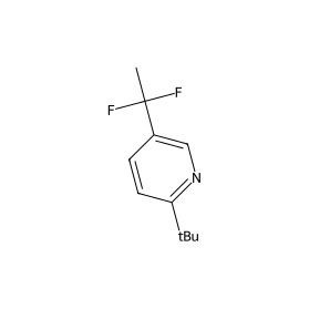 CC(C)(C)c1ccc(C(C)(F)F)cn1